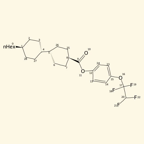 CCCCCC[C@H]1CC[C@H]([C@H]2CC[C@H](C(=O)Oc3ccc(OC(F)(F)C(F)F)cc3)CC2)CC1